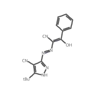 [C-]#[N+]C(/N=N/c1n[nH]c(C(C)(C)C)c1[N+]#[C-])=C(/O)c1ccccc1